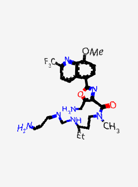 CCC(CCN(C)C(=O)c1nc(-c2ccc(OC)c3nc(C(F)(F)F)ccc23)oc1CN)NC/N=C\C=C/N